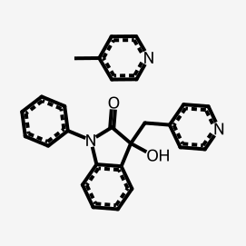 Cc1ccncc1.O=C1N(c2ccccc2)c2ccccc2C1(O)Cc1ccncc1